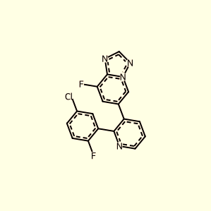 Fc1ccc(Cl)cc1-c1ncccc1-c1cc(F)c2ncnn2c1